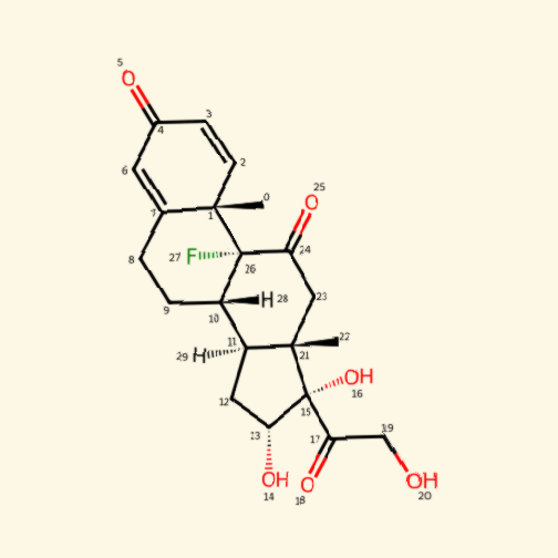 C[C@]12C=CC(=O)C=C1CC[C@H]1[C@@H]3C[C@@H](O)[C@](O)(C(=O)CO)[C@@]3(C)CC(=O)[C@@]12F